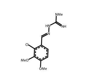 CNC(=N)NN=Cc1ccc(OC)c(OC)c1Cl